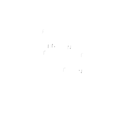 Fc1cccc(F)c1CNCc1ccc(-c2c(F)cncc2F)cn1